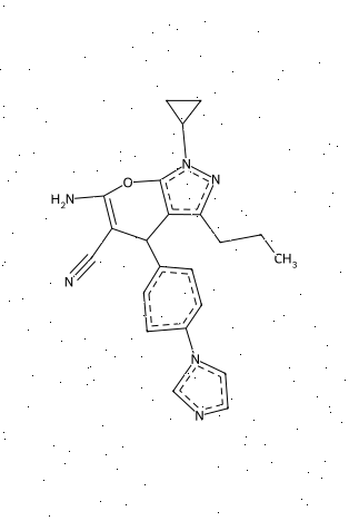 CCCc1nn(C2CC2)c2c1C(c1ccc(-n3ccnc3)cc1)C(C#N)=C(N)O2